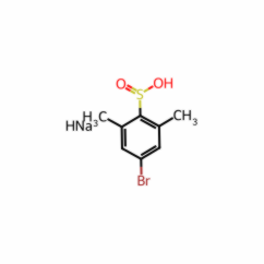 Cc1cc(Br)cc(C)c1S(=O)O.[NaH]